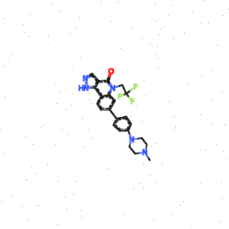 CN1CCN(c2ccc(-c3ccc4c5[nH]ncc5c(=O)n(CC(F)(F)F)c4c3)cc2)CC1